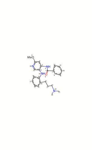 COc1cc(NC(=O)c2ccccc2)c(Nc2ccccc2CCCN(C)C)cn1